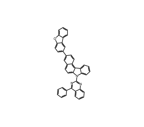 c1ccc(-c2nc(-n3c4ccccc4c4c5ccc(-c6ccc7oc8ccccc8c7c6)cc5ccc43)nc3ccccc23)cc1